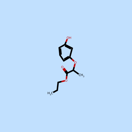 CCCOC(=O)C(C)Oc1cccc(O)c1